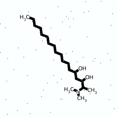 CCCCCCCCCCCCCC(O)CC(O)C(C)N(C)C